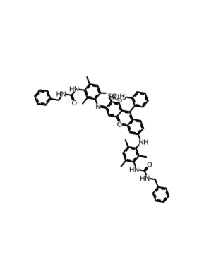 Cc1cc(C)c(NC(=O)NCc2ccccc2)c(C)c1/N=c1/cc2oc3cc(Nc4c(C)cc(C)c(NC(=O)NCc5ccccc5)c4C)ccc3c(-c3ccccc3S(=O)(=O)O)c-2cc1S(=O)(=O)O